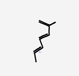 C=C(C)C=C/C=[C]/C